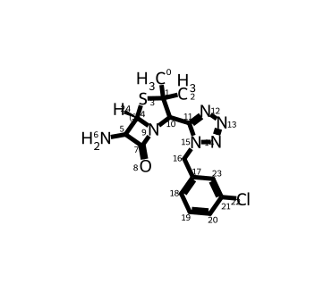 CC1(C)S[C@H]2C(N)C(=O)N2C1c1nnnn1Cc1cccc(Cl)c1